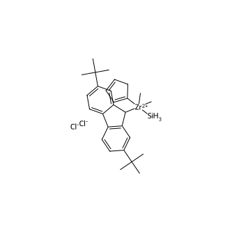 CC(C)(C)c1ccc2c(c1)[CH]([Zr+2]([CH3])([CH3])([SiH3])[C]1=CC=CC1)c1cc(C(C)(C)C)ccc1-2.[Cl-].[Cl-]